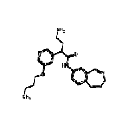 CCCCOc1cccc(C(CCN)C(=O)Nc2ccc3c(c2)C=NCC=C3)c1